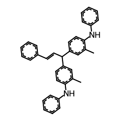 Cc1cc(C(C=Cc2ccccc2)c2ccc(Nc3ccccc3)c(C)c2)ccc1Nc1ccccc1